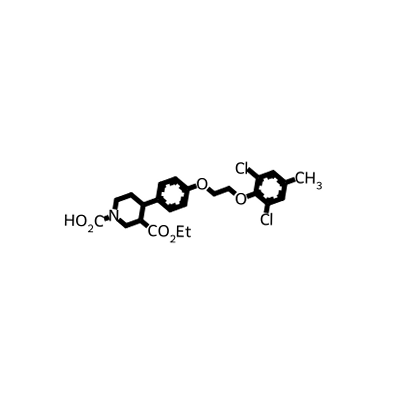 CCOC(=O)C1CN(C(=O)O)CCC1c1ccc(OCCOc2c(Cl)cc(C)cc2Cl)cc1